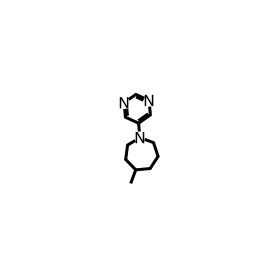 CC1CCCN(c2cncnc2)CC1